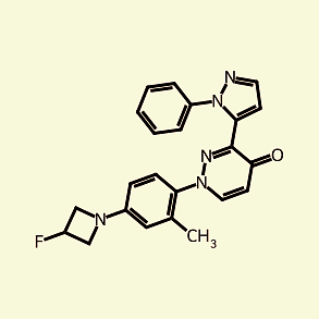 Cc1cc(N2CC(F)C2)ccc1-n1ccc(=O)c(-c2ccnn2-c2ccccc2)n1